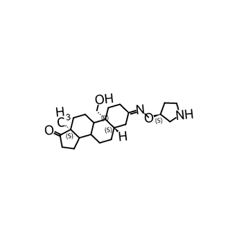 C[C@]12CCC3C(CC[C@H]4CC(=NO[C@H]5CCNC5)CC[C@]34CO)C1CCC2=O